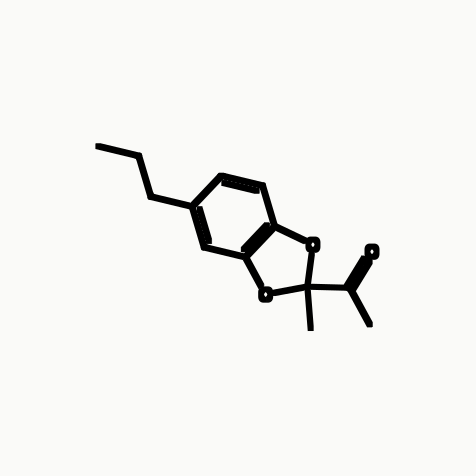 CCCc1ccc2c(c1)OC(C)(C(C)=O)O2